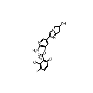 C[C@@H](Oc1cc(-c2cn3c(n2)CC(O)C3)cnc1N)c1c(Cl)ccc(F)c1Cl